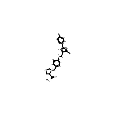 COC(=O)C1CSCN1Cc1ccc(OCc2nc(-c3ccc(C)cc3)oc2C)cc1